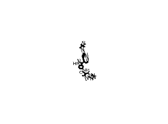 CC1=C(C(=O)Nc2ccc3[nH]nc(-c4ccnc(N5CC6(CN(C)C6)C5)c4)c3c2)[C@@H](C)n2nnnc2N1C